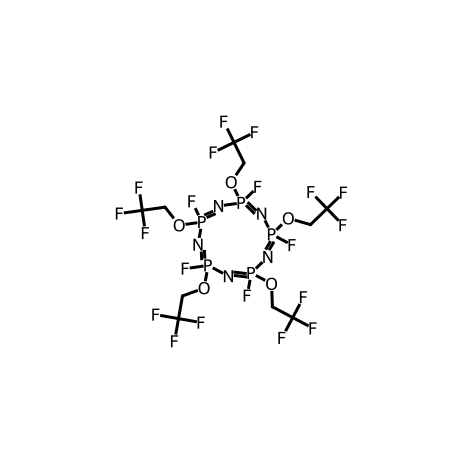 FC(F)(F)COP1(F)=NP(F)(OCC(F)(F)F)=NP(F)(OCC(F)(F)F)=NP(F)(OCC(F)(F)F)=NP(F)(OCC(F)(F)F)=N1